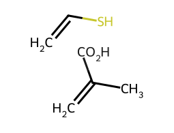 C=C(C)C(=O)O.C=CS